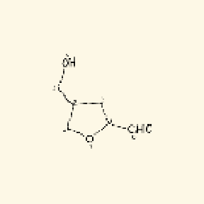 O=CC1CC(CO)CO1